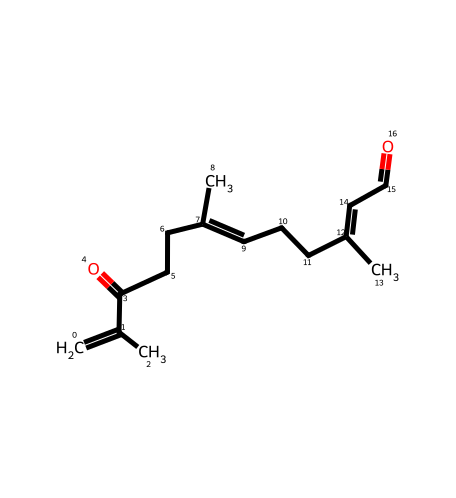 C=C(C)C(=O)CCC(C)=CCCC(C)=CC=O